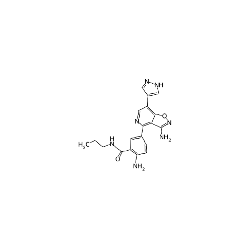 CCCNC(=O)c1cc(-c2ncc(-c3cn[nH]c3)c3onc(N)c23)ccc1N